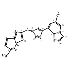 [CH2]c1ccc2nc(Cn3cc(-c4cc(Cl)cn5cncc45)nn3)cn2c1